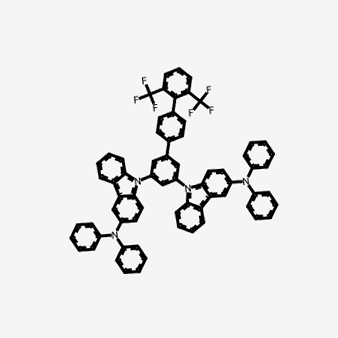 FC(F)(F)c1cccc(C(F)(F)F)c1-c1ccc(-c2cc(-n3c4ccccc4c4cc(N(c5ccccc5)c5ccccc5)ccc43)cc(-n3c4ccccc4c4cc(N(c5ccccc5)c5ccccc5)ccc43)c2)cc1